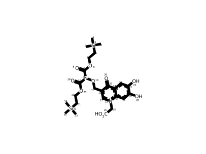 C[Si](C)(C)CCOC(=O)N(OCc1cn(CC(=O)O)c2cc(O)c(O)cc2c1=O)C(=O)OCC[Si](C)(C)C